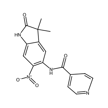 CC1(C)C(=O)Nc2cc([N+](=O)[O-])c(NC(=O)c3ccncc3)cc21